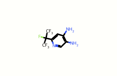 Nc1cnc(C(F)(C(F)(F)F)C(F)(F)F)cc1N